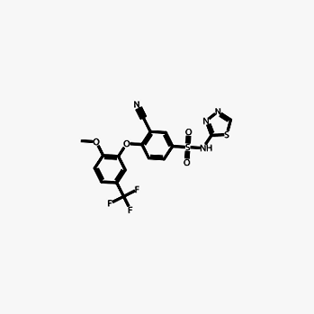 COc1ccc(C(F)(F)F)cc1Oc1ccc(S(=O)(=O)Nc2nncs2)cc1C#N